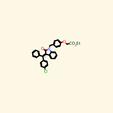 CCOC(=O)COc1ccc(CN2C(=O)/C(=C(\c3ccccc3)c3ccc(Cl)cc3)c3ccccc32)cc1